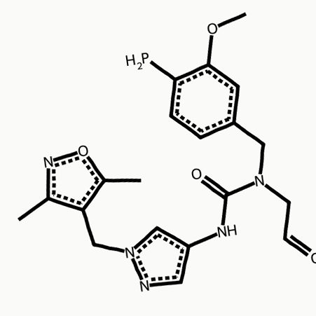 COc1cc(CN(CC=O)C(=O)Nc2cnn(Cc3c(C)noc3C)c2)ccc1P